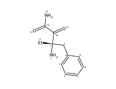 CC[C@](N)(Cc1ccccc1)C(=O)C(N)=O